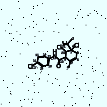 C=C(C)C1(Cl)CC=C(C)C(C(=O)Nc2ccc(Cl)cc2)C1Cl